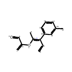 C=C/C(=C(/C)OC(=C)C=O)c1cccc(C)c1